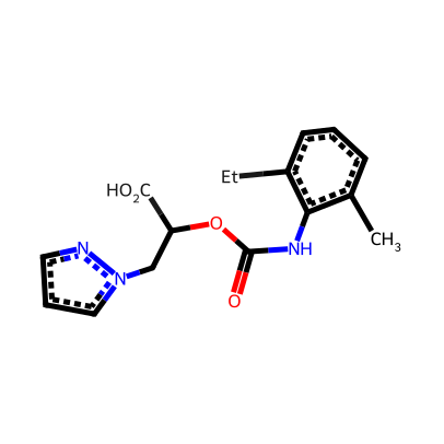 CCc1cccc(C)c1NC(=O)OC(Cn1cccn1)C(=O)O